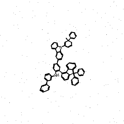 CC1(c2ccccc2)C=C(n2c3ccccc3c3cc(-c4ccc(Nc5cccc(-c6ccccc6)c5)c(-c5cccc6c5-c5ccccc5C6(c5ccccc5)c5ccccc5)c4)ccc32)C=CC1